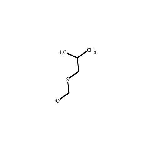 CC(C)CSC[O]